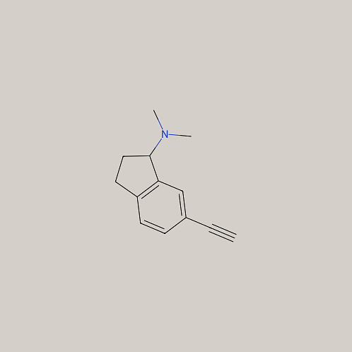 C#Cc1ccc2c(c1)C(N(C)C)CC2